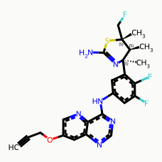 C#CCOc1cnc2c(Nc3cc(F)c(F)c([C@@]4(C)N=C(N)S[C@](C)(CF)[C@H]4C)c3)ncnc2c1